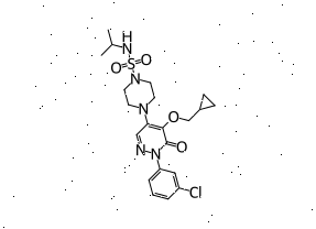 CC(C)NS(=O)(=O)N1CCN(c2cnn(-c3cccc(Cl)c3)c(=O)c2OCC2CC2)CC1